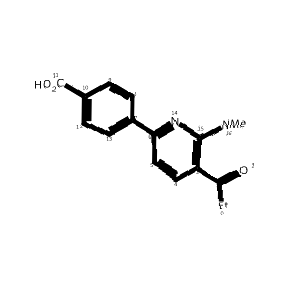 CCC(=O)c1ccc(-c2ccc(C(=O)O)cc2)nc1NC